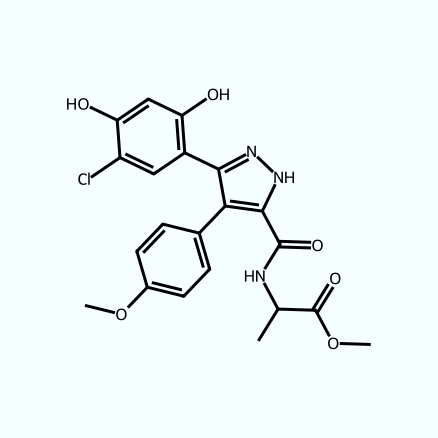 COC(=O)C(C)NC(=O)c1[nH]nc(-c2cc(Cl)c(O)cc2O)c1-c1ccc(OC)cc1